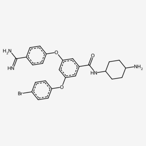 N=C(N)c1ccc(Oc2cc(Oc3ccc(Br)cc3)cc(C(=O)NC3CCC(N)CC3)c2)cc1